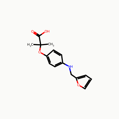 CC(C)(Oc1ccc(NCc2ccco2)cc1)C(=O)O